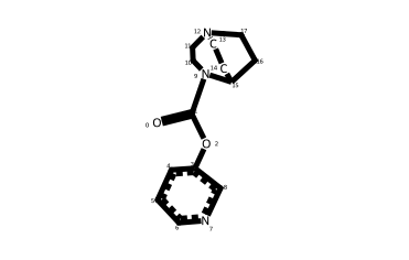 O=C(Oc1cccnc1)N1CCN2CCC1CC2